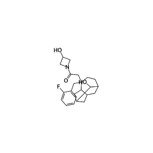 O=C(CC1(Cc2ccccc2F)CCC2CC3CC(CC31)C2O)N1CC(O)C1